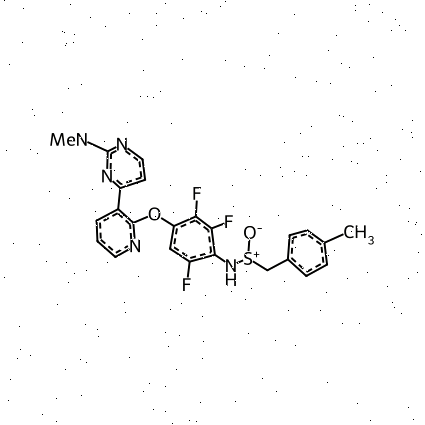 CNc1nccc(-c2cccnc2Oc2cc(F)c(N[S+]([O-])Cc3ccc(C)cc3)c(F)c2F)n1